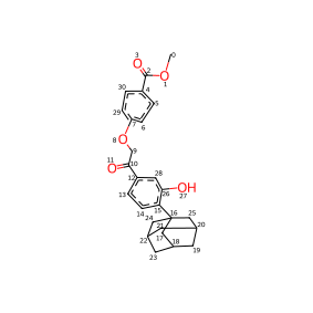 COC(=O)c1ccc(OCC(=O)c2ccc(C34CC5CC(CC(C5)C3)C4)c(O)c2)cc1